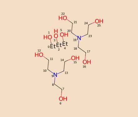 CCO.CCO.CCO.OCCN(CCO)CCO.OCCN(CCO)CCO